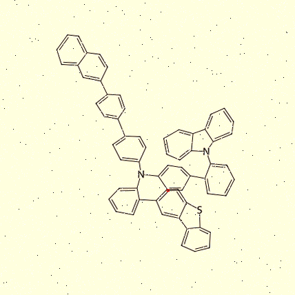 c1ccc(N(c2ccc(-c3ccc(-c4ccc5ccccc5c4)cc3)cc2)c2ccc(-c3ccccc3-n3c4ccccc4c4ccccc43)cc2)c(-c2ccc3sc4ccccc4c3c2)c1